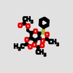 CC(=O)OC[C@H]1O[C@@H](Sc2ccccc2)[C@H](OC(C)=O)[C@@H](OC(C)=O)[C@@H]1OC(C)=O